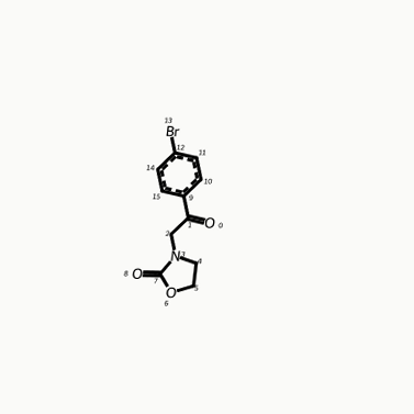 O=C(CN1CCOC1=O)c1ccc(Br)cc1